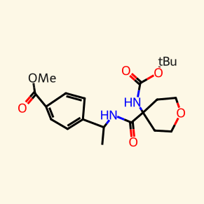 COC(=O)c1ccc(C(C)NC(=O)C2(NC(=O)OC(C)(C)C)CCOCC2)cc1